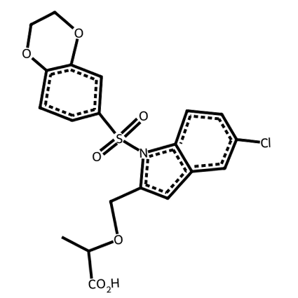 CC(OCc1cc2cc(Cl)ccc2n1S(=O)(=O)c1ccc2c(c1)OCCO2)C(=O)O